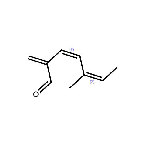 C=C(C=O)/C=C\C(C)=C/C